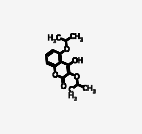 CC(C)Oc1c(O)c2c(OC(C)C)cccc2oc1=O